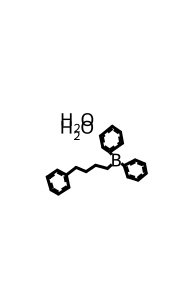 O.O.c1ccc(CCCCB(c2ccccc2)c2ccccc2)cc1